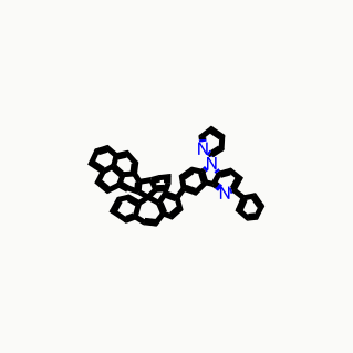 C1=Cc2ccc(-c3ccc4c(c3)c3nc(-c5ccccc5)ccc3n4-c3ccccn3)cc2C2(c3ccccc31)c1ccccc1-c1c2cc2ccc3cccc4ccc1c2c34